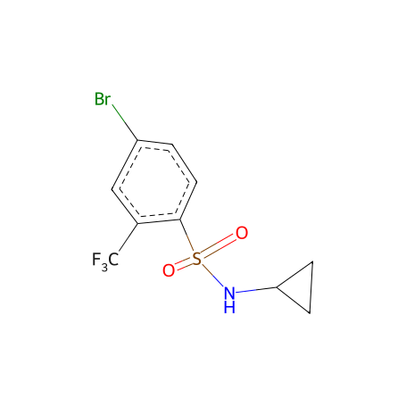 O=S(=O)(NC1CC1)c1ccc(Br)cc1C(F)(F)F